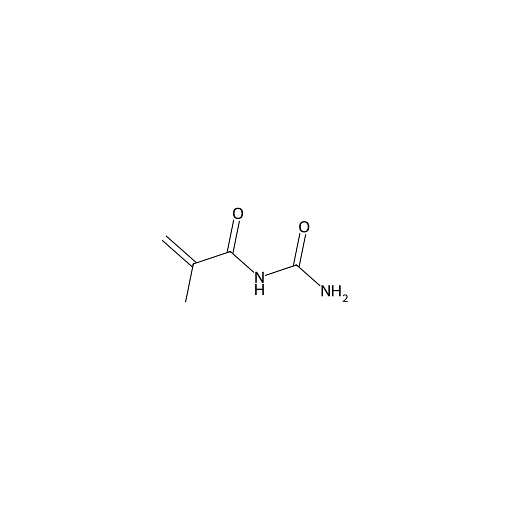 C=C(C)C(=O)NC(N)=O